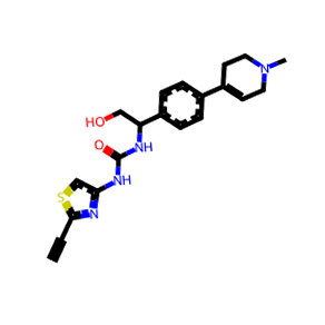 C#Cc1nc(NC(=O)NC(CO)c2ccc(C3=CCN(C)CC3)cc2)cs1